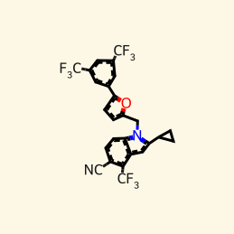 N#Cc1ccc2c(cc(C3CC3)n2Cc2ccc(-c3cc(C(F)(F)F)cc(C(F)(F)F)c3)o2)c1C(F)(F)F